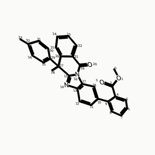 COC(=O)c1ccccc1-c1ccc2nc3n(c2c1)C(=O)c1ccccc1C3(C)c1ccc(C)cc1